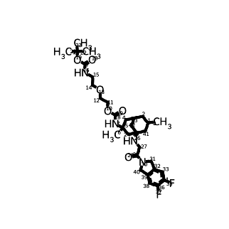 CC1CC2CC(C)(NC(=O)OCCOCCNC(=O)OC(C)(C)C)CC(NCC(=O)N3Cc4cc(F)c(F)cc4C3)(C1)C2